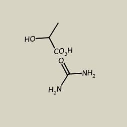 CC(O)C(=O)O.NC(N)=O